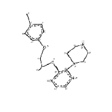 Cc1ccc(OCC(C)Oc2nccnc2N2CCNCC2)cc1